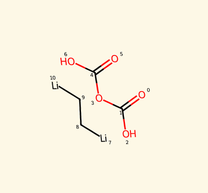 O=C(O)OC(=O)O.[Li][CH2][CH2][Li]